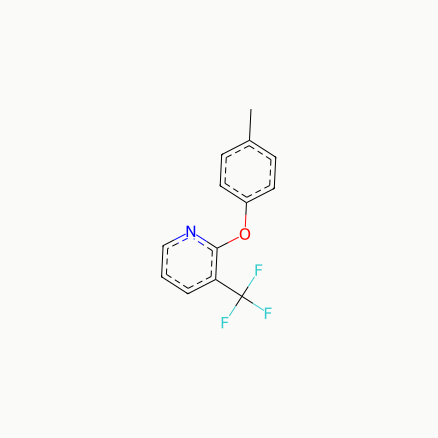 Cc1ccc(Oc2ncccc2C(F)(F)F)cc1